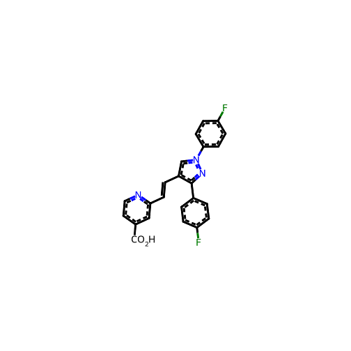 O=C(O)c1ccnc(/C=C/c2cn(-c3ccc(F)cc3)nc2-c2ccc(F)cc2)c1